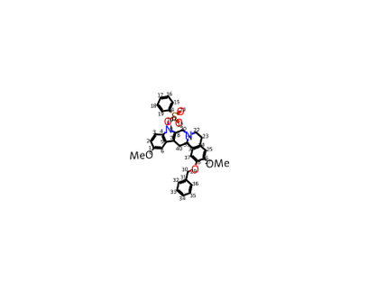 COc1ccc2c(c1)c1c(n2OS(=O)(=O)c2ccccc2)CN2CCc3cc(OC)c(OCc4ccccc4)cc3C2C1